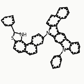 c1ccc(C2Nc3c(ccc4ccc5cc(-n6c7cc8c(cc7c7c9ccccc9ccc76)c6ccccc6n8-c6ccccc6)ccc5c34)S2)cc1